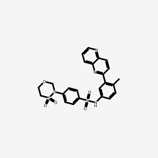 Cc1ccc(NS(=O)(=O)c2ccc(N3COCCS3(=O)=O)cc2)cc1-c1ccc2ncccc2n1